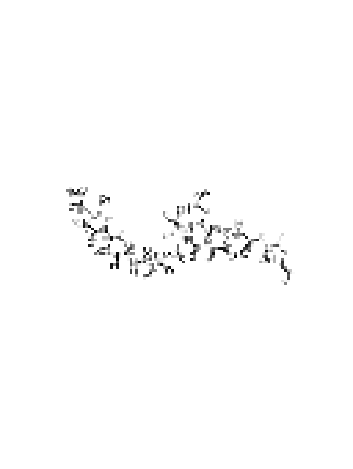 C/C=C/C[C@@H](C)[C@@H](O)CC(=O)N[C@@H](CC)C(=O)N(C)[C@H](SCCN(CC)C(C)C)C(=O)N(C)[C@@H](CC(C)(C)O)C(=O)NC(=O)N(C)C(=O)NC(=O)N[C@@H](C)C(=O)N(C)C(=O)N(C)[C@@H](CC(C)C)C(=O)NC